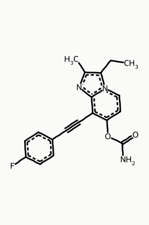 CCc1c(C)nc2c(C#Cc3ccc(F)cc3)c(OC(N)=O)ccn12